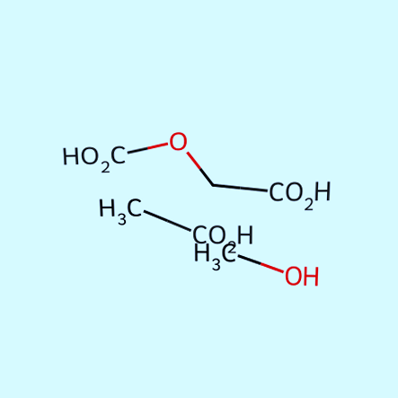 CC(=O)O.CO.O=C(O)COC(=O)O